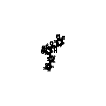 CN1C(C(=O)Nc2ccc(F)c(Cl)c2)=CC(c2ncc(-c3cccs3)s2)=NS1(=O)=O